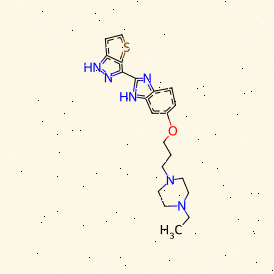 CCN1CCN(CCCOc2ccc3nc(-c4n[nH]c5ccsc45)[nH]c3c2)CC1